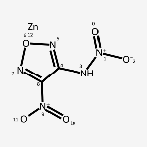 O=[N+]([O-])Nc1nonc1[N+](=O)[O-].[Zn]